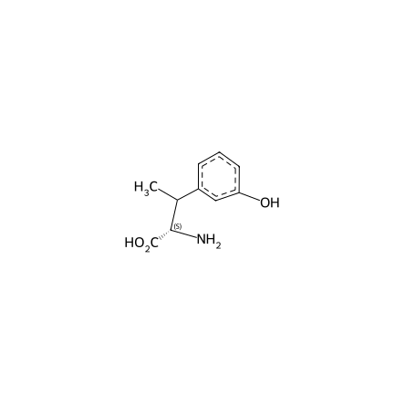 CC(c1cccc(O)c1)[C@H](N)C(=O)O